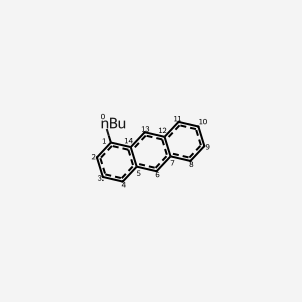 CCCCc1c[c]cc2cc3ccccc3cc12